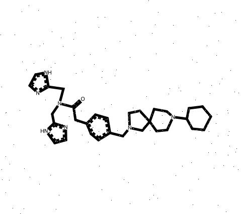 O=C(Cc1ccc(CN2CCC3(CCN(C4CCCCC4)CC3)C2)cc1)N(Cc1ncc[nH]1)Cc1ncc[nH]1